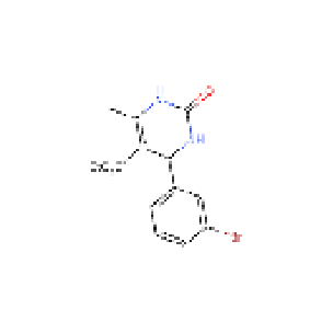 CCOC(=O)C1=C(C)NC(=O)NC1c1cccc(Br)c1